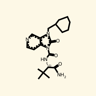 CC(C)(C)[C@H](NC(=O)n1c(=O)n(CC2CCCCC2)c2cnccc21)C(N)=O